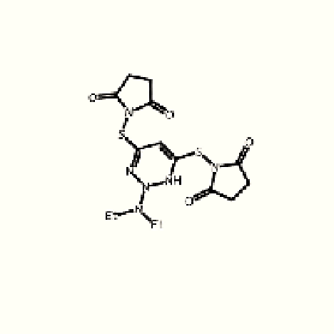 CCN(CC)N1N=C(SN2C(=O)CCC2=O)C=C(SN2C(=O)CCC2=O)N1